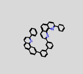 c1ccc(-c2ccc3ccc4ccc(-c5cccc(-c6cccc(-c7ccc8ccc9ccc(-c%10ccccc%10)nc9c8n7)c6)c5)cc4c3n2)cc1